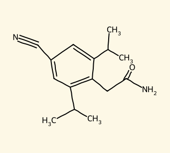 CC(C)c1cc(C#N)cc(C(C)C)c1CC(N)=O